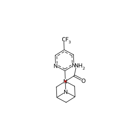 NC(=O)CN1C2CC1CN(c1ncc(C(F)(F)F)cn1)C2